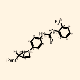 CCCC(C)C1(F)c2cn(-c3ccc(NC(=O)Nc4ccccc4C(F)(F)F)cc3)n21